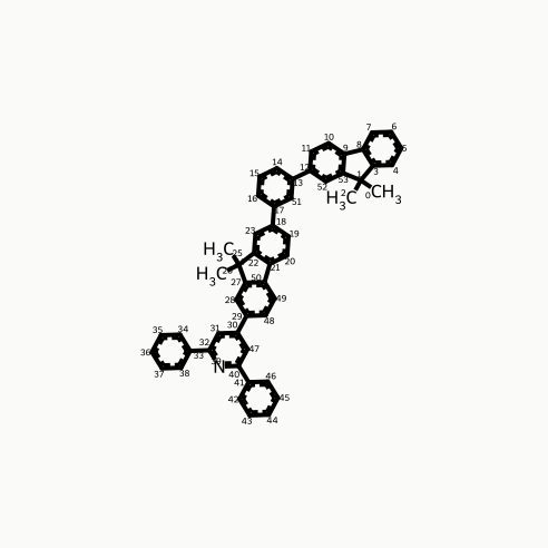 CC1(C)c2ccccc2-c2ccc(-c3cccc(-c4ccc5c(c4)C(C)(C)c4cc(-c6cc(-c7ccccc7)nc(-c7ccccc7)c6)ccc4-5)c3)cc21